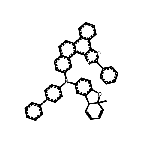 CC12C=CC=CC1c1cc(N(c3ccc(-c4ccccc4)cc3)c3ccc4ccc5c6ccccc6c6oc(-c7ccccc7)nc6c5c4c3)ccc1O2